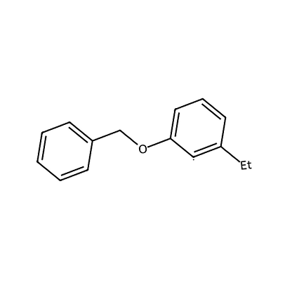 CCc1[c]c(OCc2ccccc2)ccc1